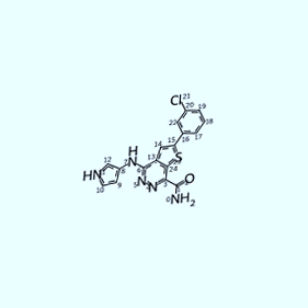 NC(=O)c1nnc(Nc2cc[nH]c2)c2cc(-c3cccc(Cl)c3)sc12